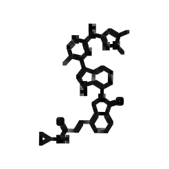 Cc1cnc(Nc2cc(C)n(C)n2)nc1-c1c[nH]c2c(N3Cc4c(/C=C/C(=O)NC5CC5)cccc4C3=O)cccc12